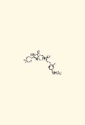 CC(=O)Nc1ccc(CC[S+]([O-])N2CCC3(CC2)N=C(C2CCC(C)(C)CC2)NC3=O)c(C)c1